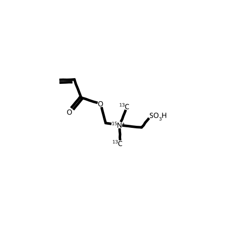 C=CC(=O)OC[15N+]([13CH3])([13CH3])CS(=O)(=O)O